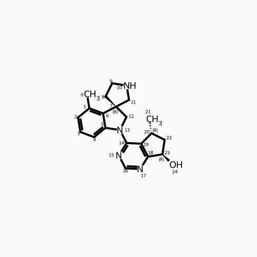 Cc1cccc2c1[C@@]1(CCNC1)CN2c1ncnc2c1[C@H](C)C[C@H]2O